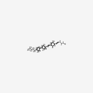 CCCCC#Cc1ccc(C#Cc2ccc(-c3ccc(CCCCC)cc3)cc2)cc1